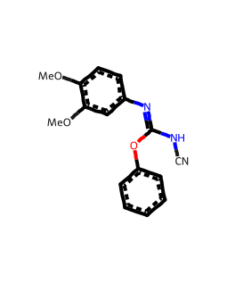 COc1ccc(/N=C(/NC#N)Oc2ccccc2)cc1OC